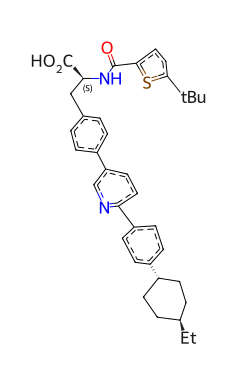 CC[C@H]1CC[C@H](c2ccc(-c3ccc(-c4ccc(C[C@H](NC(=O)c5ccc(C(C)(C)C)s5)C(=O)O)cc4)cn3)cc2)CC1